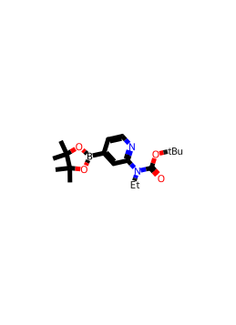 CCN(C(=O)OC(C)(C)C)c1cc(B2OC(C)(C)C(C)(C)O2)ccn1